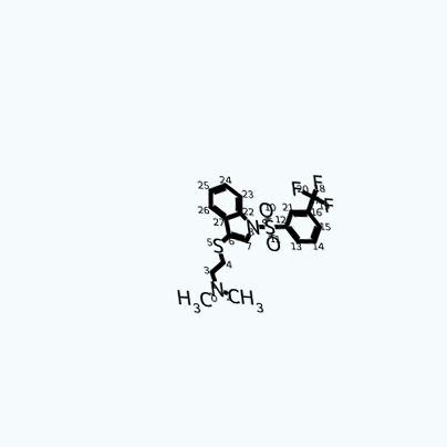 CN(C)CCSc1cn(S(=O)(=O)c2cccc(C(F)(F)F)c2)c2ccccc12